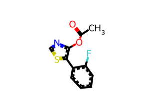 CC(=O)Oc1ncsc1-c1ccccc1F